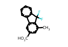 Cc1cc(C(=O)O)cc2c1C(F)(F)c1ccccc1-2